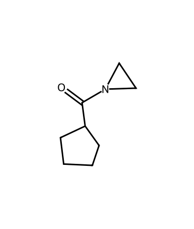 O=C(C1CCCC1)N1CC1